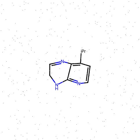 CC(C)c1ccnc2c1N=CCN2